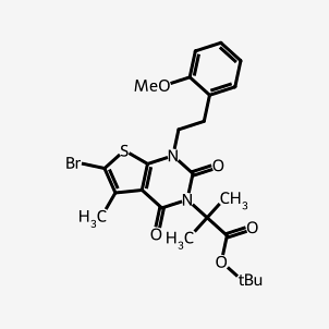 COc1ccccc1CCn1c(=O)n(C(C)(C)C(=O)OC(C)(C)C)c(=O)c2c(C)c(Br)sc21